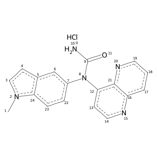 Cl.Cn1ccc2cc(N(C(N)=O)c3ccnc4cccnc34)ccc21